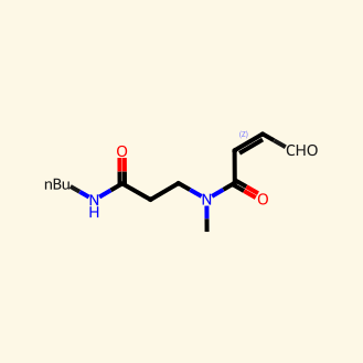 CCCCNC(=O)CCN(C)C(=O)/C=C\C=O